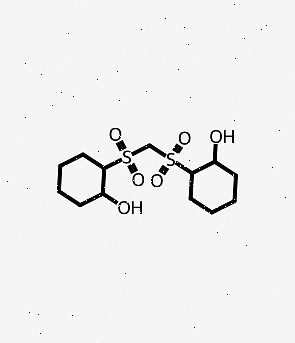 O=S(=O)(CS(=O)(=O)C1CCCCC1O)C1CCCCC1O